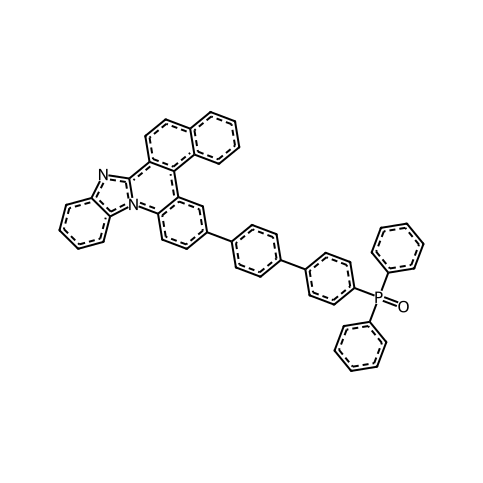 O=P(c1ccccc1)(c1ccccc1)c1ccc(-c2ccc(-c3ccc4c(c3)c3c5ccccc5ccc3c3nc5ccccc5n43)cc2)cc1